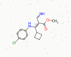 COC(=O)/C(C=N)=C(/Nc1ccc(Cl)cc1)C1CCC1